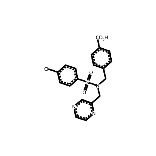 O=C(O)c1ccc(CN(Cc2cnccn2)S(=O)(=O)c2ccc(Cl)cc2)cc1